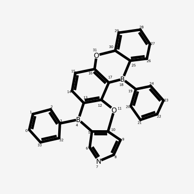 c1ccc(B2c3cnccc3Oc3c2ccc2c3B(c3ccccc3)c3ccccc3O2)cc1